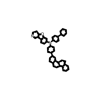 c1ccc(-c2ccc(N(c3ccc(-c4ccc5ccc6c7ccccc7ccc6c5c4)cc3)c3ccc4c(c3)oc3ccncc34)cc2)cc1